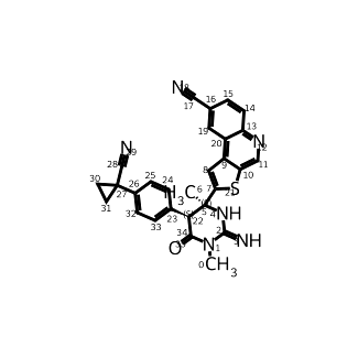 CN1C(=N)N[C@](C)(c2cc3c(cnc4ccc(C#N)cc43)s2)[C@H](c2ccc(C3(C#N)CC3)cc2)C1=O